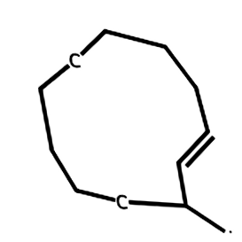 [CH2]C1/C=C/CCCCCCCC1